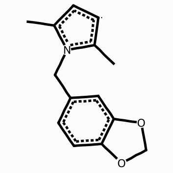 Cc1[c]cc(C)n1Cc1ccc2c(c1)OCO2